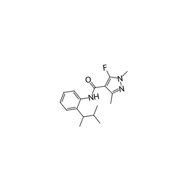 Cc1nn(C)c(F)c1C(=O)Nc1ccccc1C(C)C(C)C